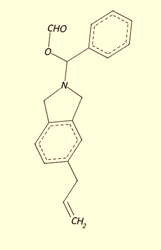 C=CCc1ccc2c(c1)CN(C(OC=O)c1ccccc1)C2